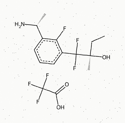 CC[C@@](C)(O)C(F)(F)c1cccc([C@@H](C)N)c1F.O=C(O)C(F)(F)F